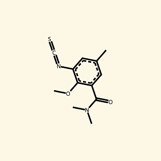 COc1c(N=C=S)cc(C)cc1C(=O)N(C)C